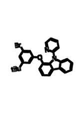 CC(C)(C)c1cc(Br)cc(Oc2cccc3c4ccccc4n(-c4ccccn4)c23)c1